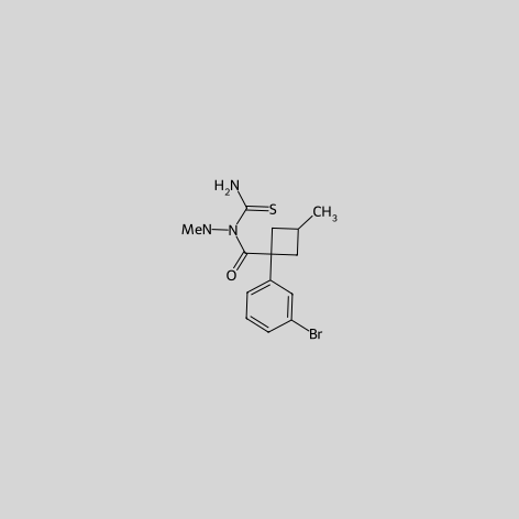 CNN(C(=O)C1(c2cccc(Br)c2)CC(C)C1)C(N)=S